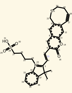 CC1(C)C(/C=C/c2cc3cc4c(cc3oc2=O)C#CCCSC4)=[N+](CCCCS(=O)(=O)O)c2ccccc21